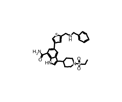 CCS(=O)(=O)N1CCC(c2c[nH]c3c(C(N)=O)cc(-c4csc(CNCc5ccccc5)c4)cc23)CC1